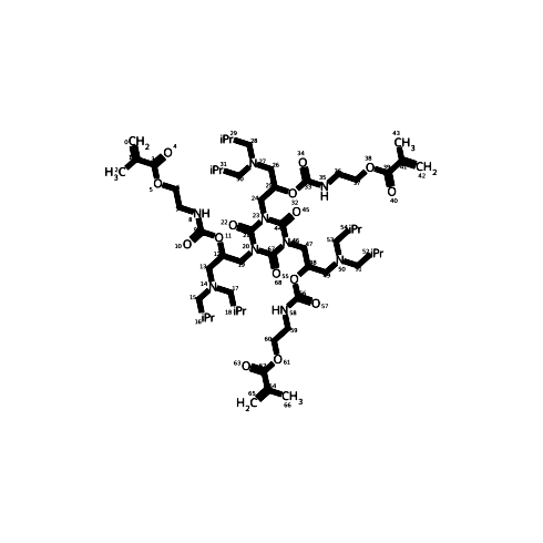 C=C(C)C(=O)OCCNC(=O)OC(CN(CC(C)C)CC(C)C)Cn1c(=O)n(CC(CN(CC(C)C)CC(C)C)OC(=O)NCCOC(=O)C(=C)C)c(=O)n(CC(CN(CC(C)C)CC(C)C)OC(=O)NCCOC(=O)C(=C)C)c1=O